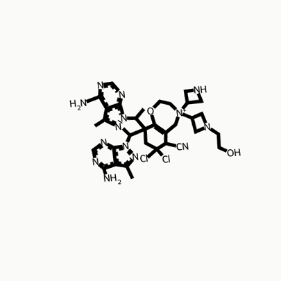 Cc1nn(C(C)C2(C(C)n3nc(C)c4c(N)ncnc43)CC(Cl)(Cl)C(C#N)C3=C2OCC[N+](C2CNC2)(C2CN(CCO)C2)C3)c2ncnc(N)c12